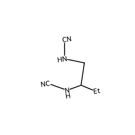 CCC(CNC#N)NC#N